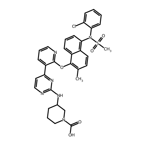 Cc1ccc2c(N(c3ccccc3Cl)S(C)(=O)=O)cccc2c1Oc1ncccc1-c1ccnc(NC2CCCN(C(=O)O)C2)n1